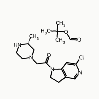 CC(C)(C)OC=O.C[C@@H]1CN(CC(=O)N2CCc3cnc(Cl)cc32)CCN1